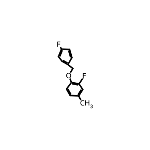 Cc1ccc(OCc2ccc(F)cc2)c(F)c1